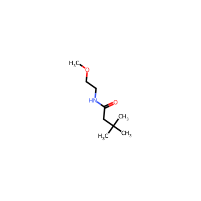 COCCNC(=O)CC(C)(C)C